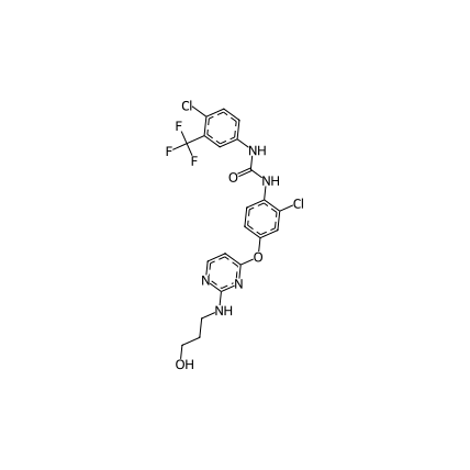 O=C(Nc1ccc(Cl)c(C(F)(F)F)c1)Nc1ccc(Oc2ccnc(NCCCO)n2)cc1Cl